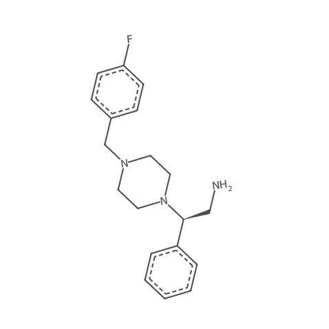 NC[C@@H](c1ccccc1)N1CCN(Cc2ccc(F)cc2)CC1